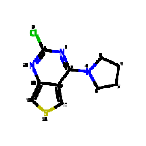 Clc1nc(N2CCCC2)c2cscc2n1